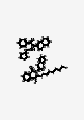 CCCCCC=CCCCN(C)c1ccccc1C(=O)Nc1cnc2ccccc2c1.O=C(c1ccccc1)N(NCC1CCCC1)c1cnc2ccccc2c1